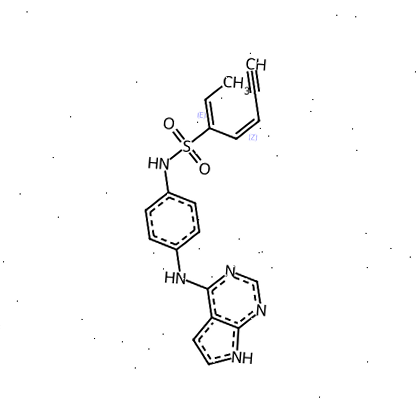 C#C/C=C\C(=C/C)S(=O)(=O)Nc1ccc(Nc2ncnc3[nH]ccc23)cc1